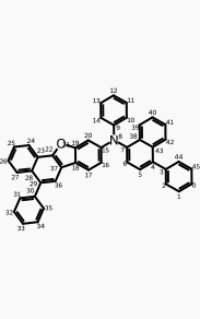 c1ccc(-c2ccc(N(c3ccccc3)c3ccc4c(c3)oc3c5ccccc5c(-c5ccccc5)cc43)c3ccccc23)cc1